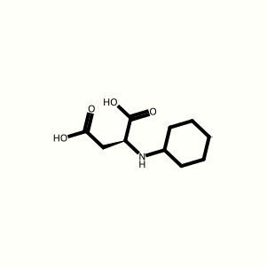 O=C(O)C[C@H](NC1CC[CH]CC1)C(=O)O